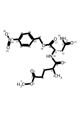 COC(=O)CCC(C)C(=O)N[C@@H](CC(N)=O)C(=O)OCc1ccc([N+](=O)[O-])cc1